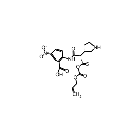 C=CCOC(=O)OC(=S)[C@H](C(=O)Nc1ccc([N+](=O)[O-])cc1C(=O)O)[C@@H]1CCNC1